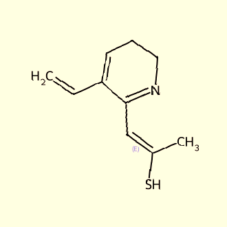 C=CC1=CCCN=C1/C=C(\C)S